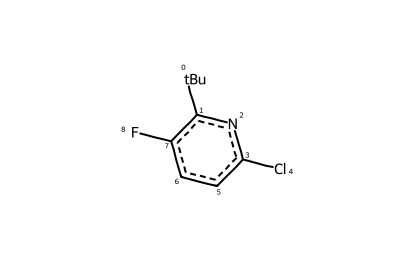 CC(C)(C)c1nc(Cl)ccc1F